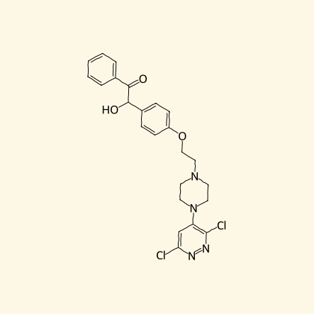 O=C(c1ccccc1)C(O)c1ccc(OCCN2CCN(c3cc(Cl)nnc3Cl)CC2)cc1